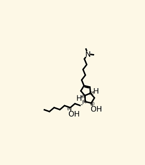 CCCCC[C@@H](O)CC[C@@H]1[C@H]2CC(CCCCCN(C)C)=C[C@H]2C[C@H]1O